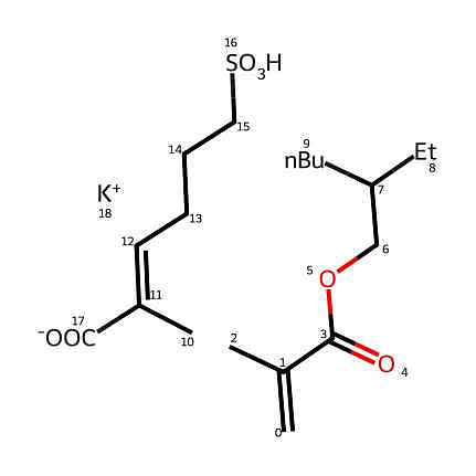 C=C(C)C(=O)OCC(CC)CCCC.CC(=CCCCS(=O)(=O)O)C(=O)[O-].[K+]